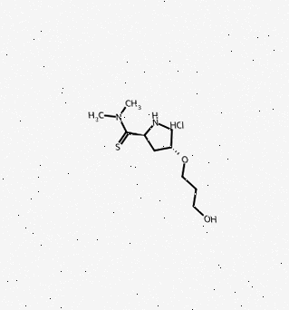 CN(C)C(=S)[C@@H]1C[C@@H](OCCCO)CN1.Cl